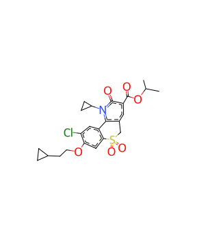 CC(C)OC(=O)c1cc2c(n(C3CC3)c1=O)-c1cc(Cl)c(OCCC3CC3)cc1S(=O)(=O)C2